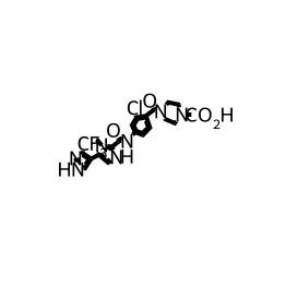 Cn1c(-c2c[nH]nc2C(F)(F)F)cnc1C(=O)Nc1ccc(C(=O)N2CCN(C(=O)O)CC2)c(Cl)c1